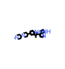 Cc1c(-c2ccnc3[nH]ccc23)[nH]c2ccc(C3CCN(C4CCN(C)CC4)CC3)cc12